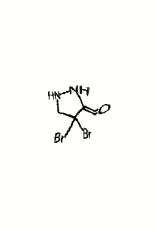 O=C1NNCC1(Br)Br